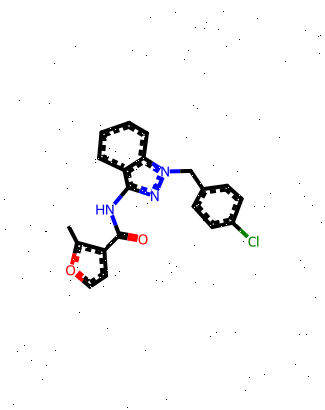 Cc1occc1C(=O)Nc1nn(Cc2ccc(Cl)cc2)c2ccccc12